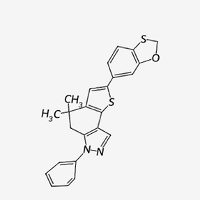 CC1(C)Cc2c(cnn2-c2ccccc2)-c2sc(-c3ccc4c(c3)OCS4)cc21